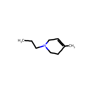 CCCN1CC=C(C)CC1